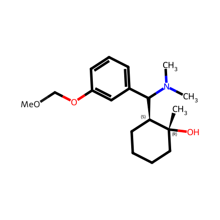 COCOc1cccc(C([C@@H]2CCCC[C@@]2(C)O)N(C)C)c1